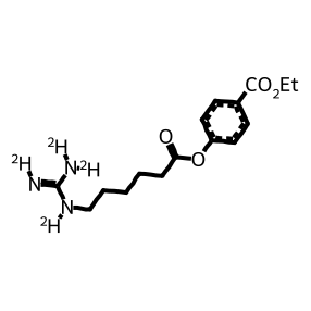 [2H]/N=C(\N([2H])[2H])N([2H])CCCCCC(=O)Oc1ccc(C(=O)OCC)cc1